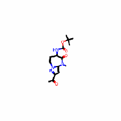 CC(=O)c1cc2n(n1)CCC(NC(=O)OC(C)(C)C)C(=O)N2C